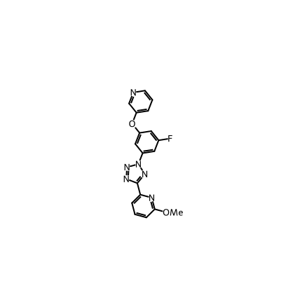 COc1cccc(-c2nnn(-c3cc(F)cc(Oc4cccnc4)c3)n2)n1